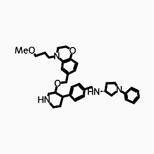 COCCCN1CCOc2ccc(COC3CNCCC3c3ccc(CN[C@@H]4CCN(c5ccccc5)C4)cc3)cc21